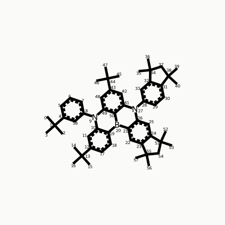 CC(C)(C)c1cccc(N2c3cc(C(C)(C)C)ccc3B3c4cc5c(cc4N(c4ccc6c(c4)C(C)(C)CC6(C)C)c4cc(C(C)(C)C)cc2c43)C(C)(C)CC5(C)C)c1